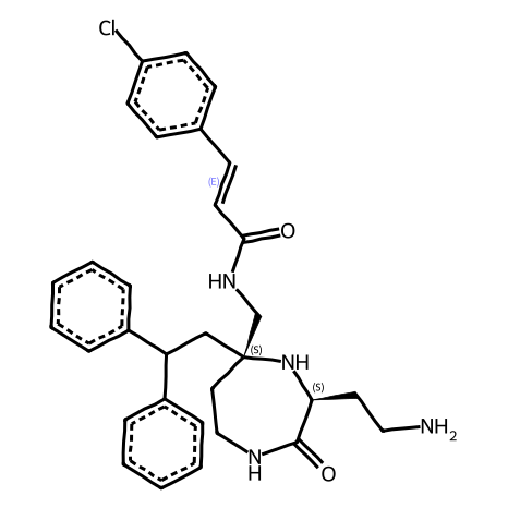 NCC[C@@H]1N[C@@](CNC(=O)/C=C/c2ccc(Cl)cc2)(CC(c2ccccc2)c2ccccc2)CCNC1=O